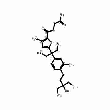 CCC(O)(CC)CCc1ccc(C(CC)(CC)c2cc(C)c(C(=O)CCC(=O)O)s2)cc1C